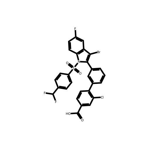 O=C(O)c1ccc(-c2cccc(-c3c(Br)c4cc(F)ccc4n3S(=O)(=O)c3ccc(C(F)F)cc3)c2)c(Cl)c1